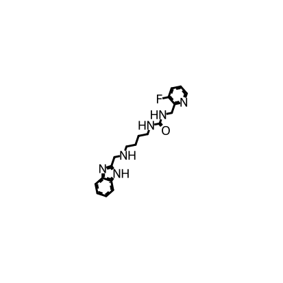 O=C(NCCCCNCc1nc2ccccc2[nH]1)NCc1ncccc1F